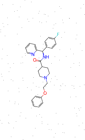 O=C(N[C@H](c1ccc(F)cc1)c1ccccn1)C1CCN(CCOc2ccccc2)CC1